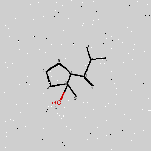 CC(C)C(C)C1CCCC1(C)O